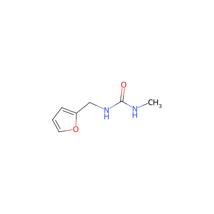 CNC(=O)NCc1ccco1